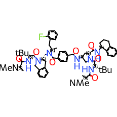 CN[C@@H](C)C(=O)N[C@H](C(=O)N1Cc2ccccc2C[C@H]1CN(C(=O)c1ccc(C(=O)N[C@H]2C[C@@H](C(=O)N[C@@H]3CCCc4ccccc43)N(C(=O)[C@@H](NC(=O)[C@H](C)NC)C(C)(C)C)C2)cc1)[C@H](C)Cc1ccccc1F)C(C)(C)C